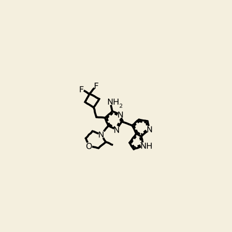 CC1COCCN1c1nc(-c2ccnc3[nH]ccc23)nc(N)c1CC1CC(F)(F)C1